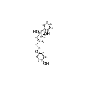 Oc1ccc(OCCN2CC[C@@](O)(Cc3ccccc3)[C@@H](O)C2)cc1